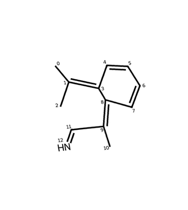 CC(C)=c1cccc/c1=C(\C)C=N